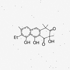 CCc1c(C)cc2cc3c(c(O)c2c1O)C(=O)C(C)(O)C(=O)C3(C)C